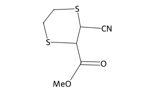 COC(=O)C1SCCSC1C#N